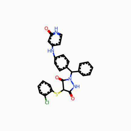 O=C1NN(C(c2ccccc2)c2ccc(Nc3cc[nH]c(=O)c3)cc2)C(=O)C1Sc1ccccc1Cl